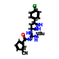 CC(C)(C)N/C(=N/C(=O)c1cccc(C#N)c1)NC1CC(c2ccc(Cl)cc2)NN1